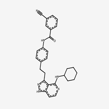 N#Cc1cccc(C(=O)Nc2ccc(CCc3n[nH]c4ccnc(NC5CCCCC5)c34)cc2)c1